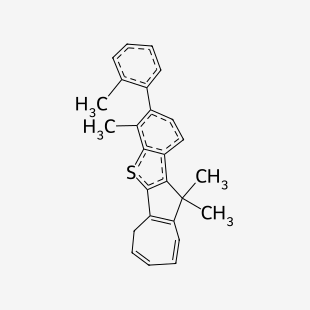 Cc1ccccc1-c1ccc2c3c(sc2c1C)C1=C(C=CC=CC1)C3(C)C